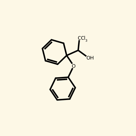 OC(C(Cl)(Cl)Cl)C1(Oc2ccccc2)C=CC=CC1